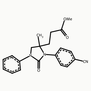 COC(=O)CCC1(C)CN(c2ccccc2)C(=O)N1c1ccc(C#N)cc1